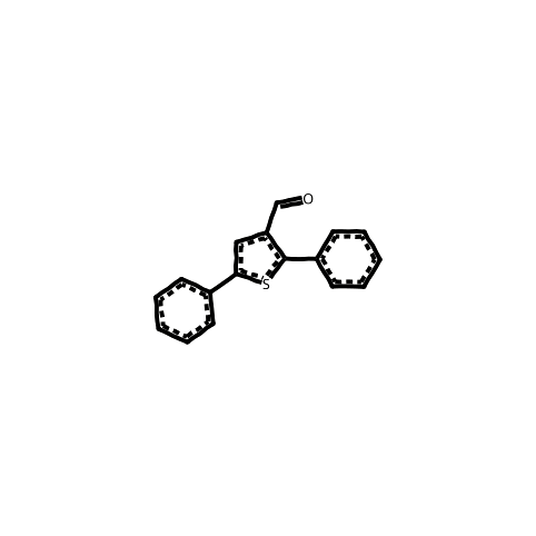 O=Cc1cc(-c2ccccc2)sc1-c1ccccc1